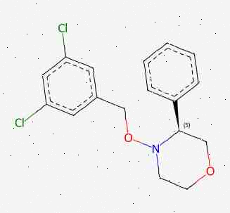 Clc1cc(Cl)cc(CON2CCOC[C@@H]2c2ccccc2)c1